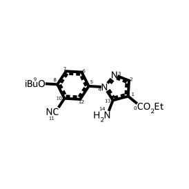 CCOC(=O)c1cnn(-c2ccc(OCC(C)C)c(C#N)c2)c1N